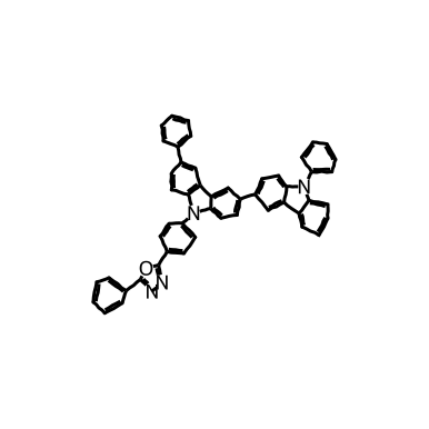 c1ccc(-c2ccc3c(c2)c2cc(-c4ccc5c(c4)c4ccccc4n5-c4ccccc4)ccc2n3-c2ccc(-c3nnc(-c4ccccc4)o3)cc2)cc1